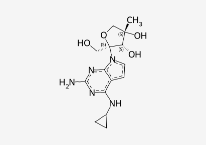 C[C@]1(O)CO[C@](CO)(n2ccc3c(NC4CC4)nc(N)nc32)[C@H]1O